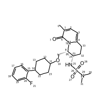 Cc1ccc2n(c1=O)[C@@H](COC1CCC(c3ccccc3F)CC1)[C@@H](NS(=O)(=O)N(C)C)CC2